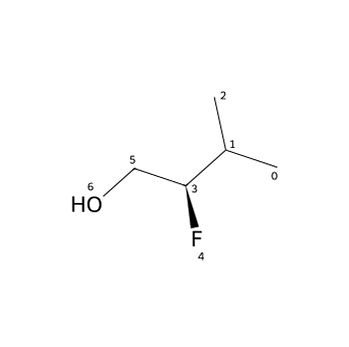 CC(C)[C@@H](F)CO